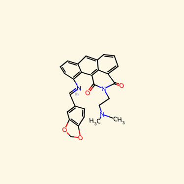 CN(C)CCN1C(=O)c2cccc3cc4cccc(/N=C/c5ccc6c(c5)OCO6)c4c(c23)C1=O